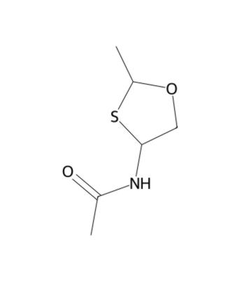 CC(=O)NC1COC(C)S1